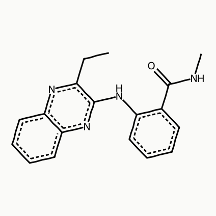 CCc1nc2ccccc2nc1Nc1ccccc1C(=O)NC